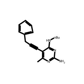 CCCCNc1nc(N)nc(C)c1C#CCc1ccccc1